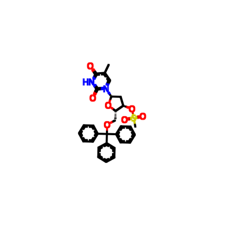 Cc1cn([C@H]2C[C@@H](OS(C)(=O)=O)[C@H](COC(c3ccccc3)(c3ccccc3)c3ccccc3)O2)c(=O)[nH]c1=O